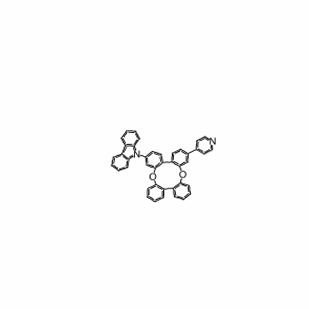 c1ccc2c(c1)Oc1cc(-c3ccncc3)ccc1-c1ccc(-n3c4ccccc4c4ccccc43)cc1Oc1ccccc1-2